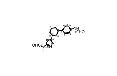 O=CNc1ccc(C2CCC[C@H](c3nnc(NC=O)s3)C2)nn1